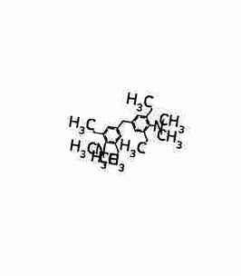 CCc1cc(Cc2cc(CC)c(N(C)C)c(CC)c2)cc(CC)c1N(C)C